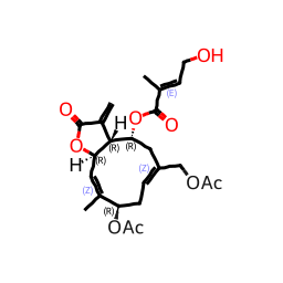 C=C1C(=O)O[C@@H]2/C=C(/C)[C@H](OC(C)=O)C/C=C(\COC(C)=O)C[C@@H](OC(=O)/C(C)=C/CO)[C@@H]12